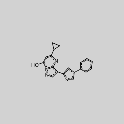 Oc1cc(C2CC2)nc2c(-c3cc(-c4ccccc4)cs3)cnn12